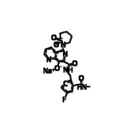 CNC(=O)c1cc(F)ccc1CNC(=O)c1nc(N2CCCCS2(=O)=O)c2cccnc2c1[O-].[Na+]